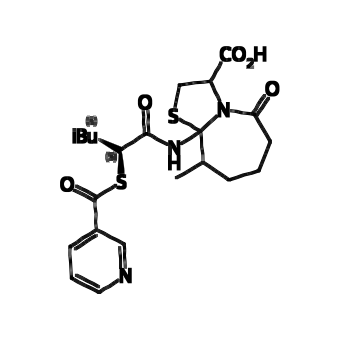 CC[C@H](C)[C@H](SC(=O)c1cccnc1)C(=O)NC12SCC(C(=O)O)N1C(=O)CCCC2C